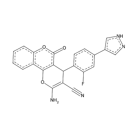 N#CC1=C(N)Oc2c(c(=O)oc3ccccc23)C1c1ccc(-c2cn[nH]c2)cc1F